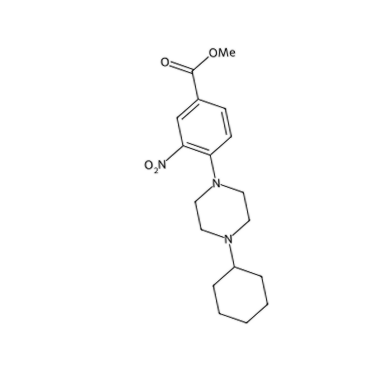 COC(=O)c1ccc(N2CCN(C3CCCCC3)CC2)c([N+](=O)[O-])c1